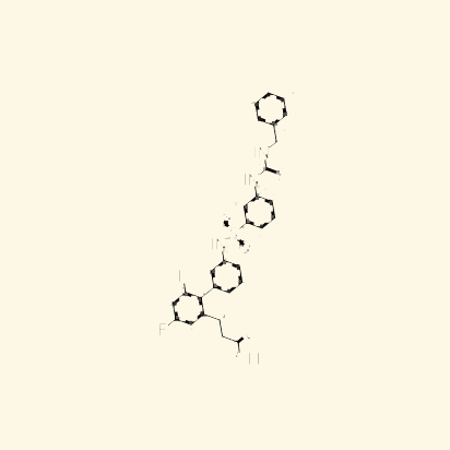 O=C(O)CCc1cc(F)cc(F)c1-c1cccc(NS(=O)(=O)c2cccc(NC(=S)NCc3ccccc3)c2)c1